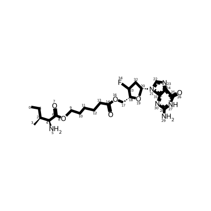 CC[C@H](C)[C@H](N)C(=O)OCCCCCC(=O)OC[C@H]1O[C@@H](n2cnc3c(=O)[nH]c(N)nc32)CC1F